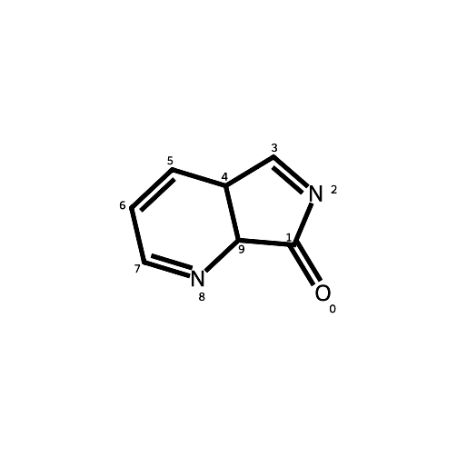 O=C1N=CC2C=CC=NC12